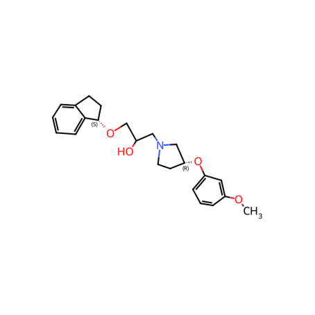 COc1cccc(O[C@@H]2CCN(CC(O)CO[C@H]3CCc4ccccc43)C2)c1